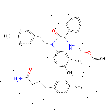 C=COCCNC(C(=O)N(CCc1ccc(C)cc1)c1ccc(C)c(C)c1)c1ccccc1.Cc1ccc(CCCC(N)=O)cc1